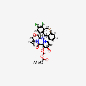 COC(=O)OCOc1c2n(ccc1=O)N([C@@H]1c3ccccc3SCc3c1ccc(F)c3F)[C@@H]1COCC3(CC3)N1C2=O